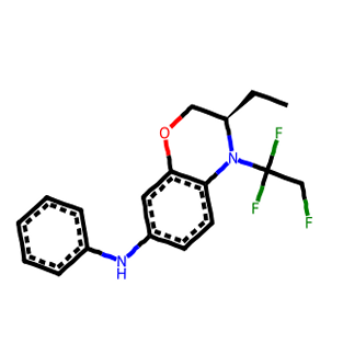 CC[C@@H]1COc2cc(Nc3ccccc3)ccc2N1C(F)(F)CF